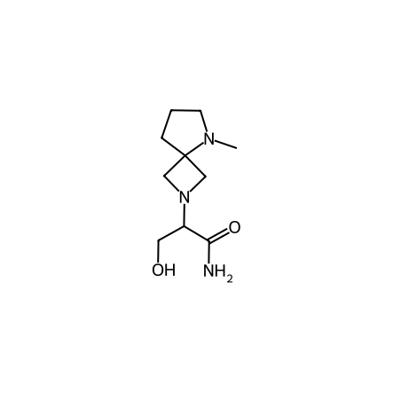 CN1CCCC12CN(C(CO)C(N)=O)C2